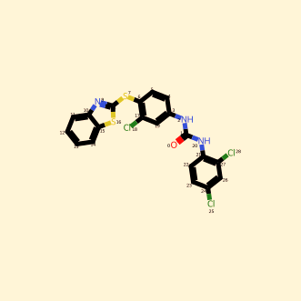 O=C(Nc1ccc(Sc2nc3ccccc3s2)c(Cl)c1)Nc1ccc(Cl)cc1Cl